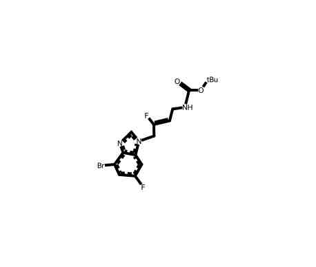 CC(C)(C)OC(=O)NC/C=C(\F)Cn1cnc2c(Br)cc(F)cc21